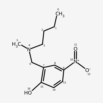 CCCCN(C)Cc1cc([N+](=O)[O-])ccc1O